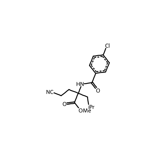 COC(=O)C(CCC#N)(CC(C)C)NC(=O)c1ccc(Cl)cc1